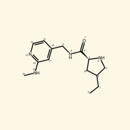 CCC1CN[C@H](C(=O)NCc2ccnc(NC)c2)C1